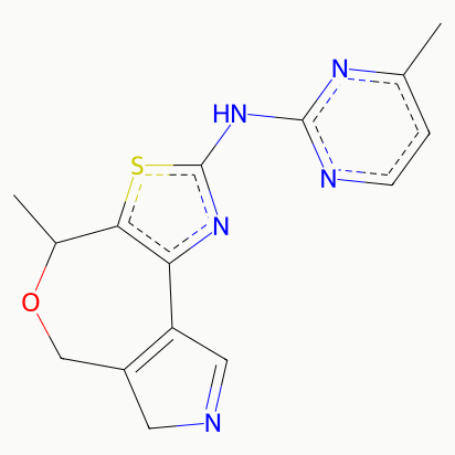 Cc1ccnc(Nc2nc3c(s2)C(C)OCC2=C3C=NC2)n1